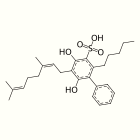 CCCCCc1c(-c2ccccc2)c(O)c(CC=C(C)CCC=C(C)C)c(O)c1S(=O)(=O)O